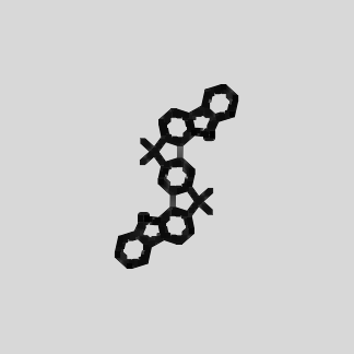 CC1(C)c2cc3c(cc2-c2c1ccc1c2oc2ccccc21)C(C)(C)c1ccc2c(oc4ccccc42)c1-3